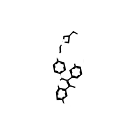 CC1=C(c2cccc(C(=O)O)c2)[C@H](c2ccc(OCCN3CC(CF)C3)cc2)Oc2ccc(O)cc21